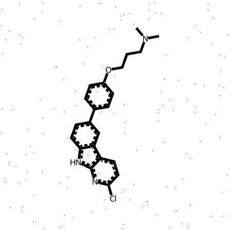 CN(C)CCCOc1ccc(-c2ccc3[nH]c4nc(Cl)ccc4c3c2)cc1